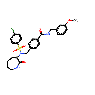 O=C(NCc1cccc(OC(F)(F)F)c1)c1ccc(CN([C@@H]2CCCCNC2=O)S(=O)(=O)c2ccc(Cl)cc2)cc1